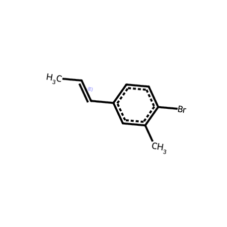 C/C=C/c1ccc(Br)c(C)c1